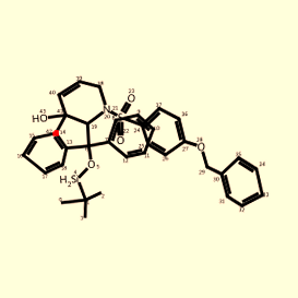 CC(C)(C)[SiH2]OC(c1ccccc1)(c1ccccc1)C1N(S(=O)(=O)c2ccc(OCc3ccccc3)cc2)CC=CC1(C)O